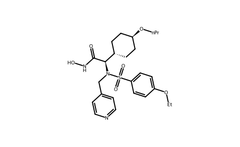 CCCO[C@H]1CC[C@H]([C@H](C(=O)NO)N(Cc2ccncc2)S(=O)(=O)c2ccc(OCC)cc2)CC1